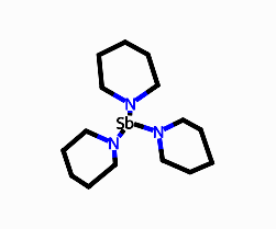 C1CC[N]([Sb]([N]2CCCCC2)[N]2CCCCC2)CC1